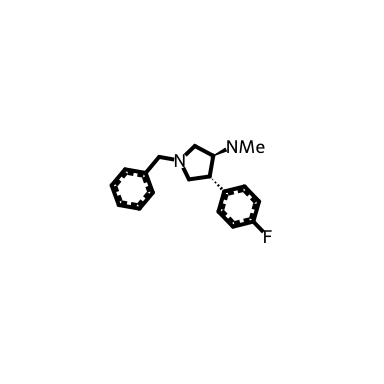 CN[C@@H]1CN(Cc2ccccc2)C[C@H]1c1ccc(F)cc1